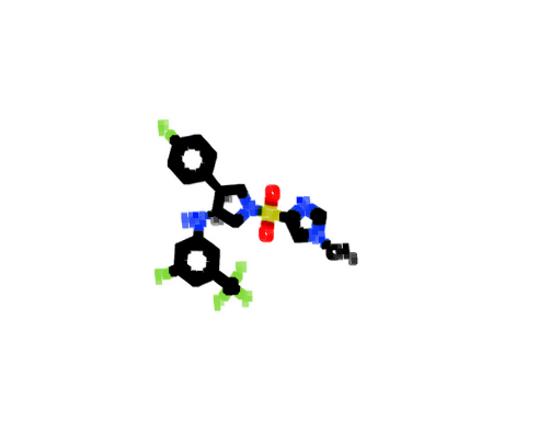 Cn1cnc(S(=O)(=O)N2C[C@H](Nc3cc(F)cc(C(F)(F)F)c3)[C@@H](c3ccc(F)cc3)C2)c1